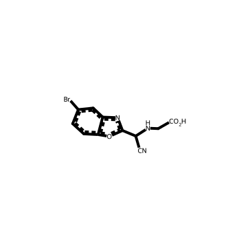 N#CC(NCC(=O)O)c1nc2cc(Br)ccc2o1